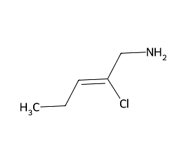 CC/C=C(\Cl)CN